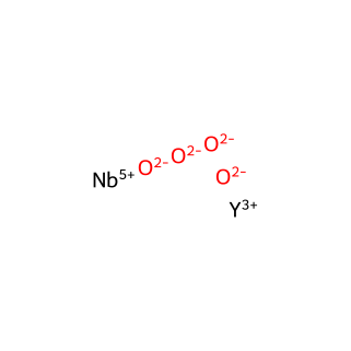 [Nb+5].[O-2].[O-2].[O-2].[O-2].[Y+3]